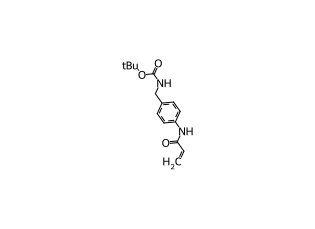 C=CC(=O)Nc1ccc(CNC(=O)OC(C)(C)C)cc1